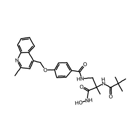 Cc1cc(COc2ccc(C(=O)NCC(C)(NC(=O)C(C)(C)C)C(=O)NO)cc2)c2ccccc2n1